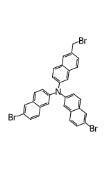 BrCc1ccc2cc(N(c3ccc4cc(Br)ccc4c3)c3ccc4cc(Br)ccc4c3)ccc2c1